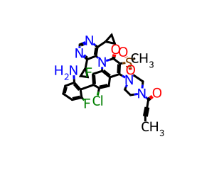 CC#CC(=O)N1CCN(c2c(S(C)(=O)=O)c(=O)n(-c3c(C4CC4)ncnc3C3CC3)c3c(F)c(-c4c(N)cccc4F)c(Cl)cc23)CC1